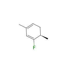 CC1=CC[C@@H](C)C(F)=C1